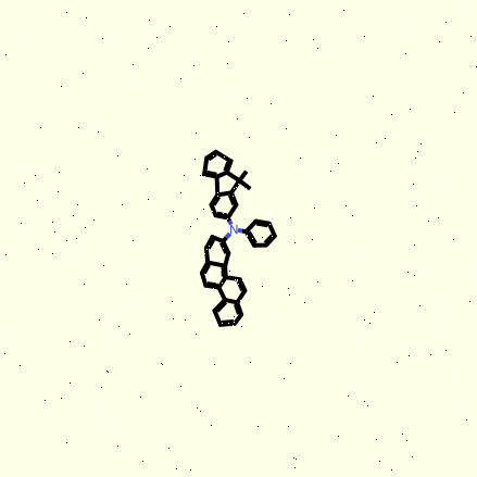 CC1(C)c2ccccc2-c2ccc(N(c3ccccc3)c3ccc4ccc5c6ccccc6ccc5c4c3)cc21